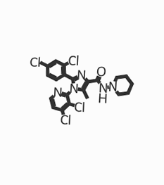 Cc1c(C(=O)NN2CCCCC2)nc(-c2ccc(Cl)cc2Cl)n1-c1nccc(Cl)c1Cl